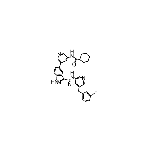 O=C(Nc1cncc(-c2ccc3[nH]nc(-c4nc5c(Cc6cccc(F)c6)cncc5[nH]4)c3c2)c1)C1CCCCC1